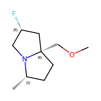 COC[C@]12CC[C@H](C)N1C[C@H](F)C2